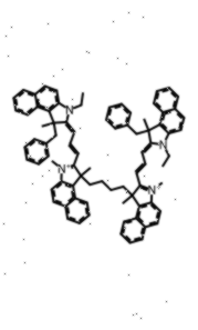 CCN1C(=CC=CC2=[N+](C)c3ccc4ccccc4c3C2(C)CCCCC2(C)C(C=CC=C3N(CC)c4ccc5ccccc5c4C3(C)Cc3ccccc3)=[N+](C)c3ccc4ccccc4c32)C(C)(Cc2ccccc2)c2c1ccc1ccccc21